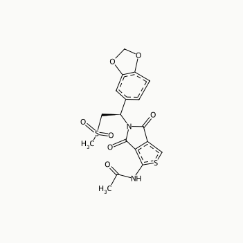 CC(=O)Nc1scc2c1C(=O)N([C@@H](CS(C)(=O)=O)c1ccc3c(c1)OCO3)C2=O